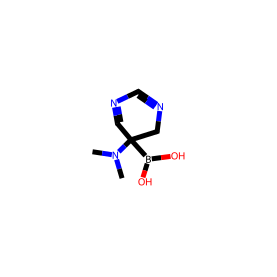 CN(C)C1(B(O)O)C=NC=NC1